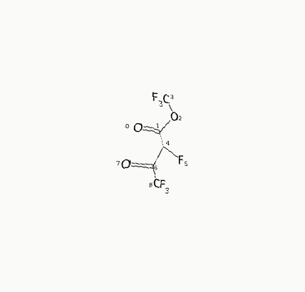 O=C(OC(F)(F)F)C(F)C(=O)C(F)(F)F